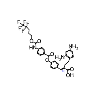 Nc1ccc(CC/C(=C\c2ccc(OC(=O)c3ccc(NC(=O)OCCCC(F)(F)C(F)(F)F)cc3)cc2)C(=O)O)c(N)c1